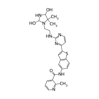 Cc1ncccc1C(=O)Nc1ccc2sc(-c3ccnc(NCCN4C(O)NC(O)C4(C)C)n3)cc2c1